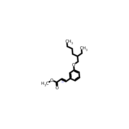 CCCCC(CC)COc1cccc(/C=C/C(=O)OC)c1